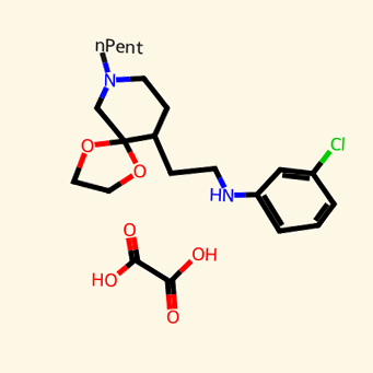 CCCCCN1CCC(CCNc2cccc(Cl)c2)C2(C1)OCCO2.O=C(O)C(=O)O